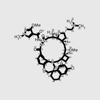 COc1nn(C)cc1C(=O)N[S@@]1(=O)=NC(=O)c2ccc3c(c2)N(C[C@@H]2CC[C@H]2[C@@H](OC)C[C@H]2C[C@@H](CCN(C)C)O[C@@H]2[C@H](C)C1)C[C@@]1(CCCc2cc(Cl)ccc21)CO3